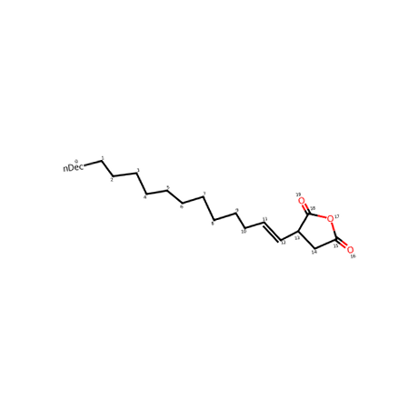 CCCCCCCCCCCCCCCCCCCCC=CC1CC(=O)OC1=O